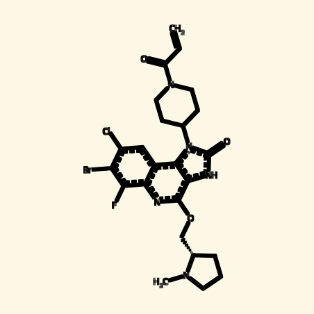 C=CC(=O)N1CCC(n2c(=O)[nH]c3c(OC[C@@H]4CCCN4C)nc4c(F)c(Br)c(Cl)cc4c32)CC1